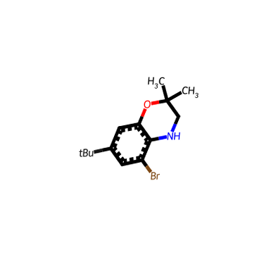 CC1(C)CNc2c(Br)cc(C(C)(C)C)cc2O1